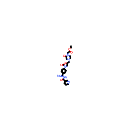 CCOC(=O)CN1CCN(CC2CN(c3ccc(C(=N)NC(=O)c4cccnc4)cc3)C(=O)O2)CC1=O